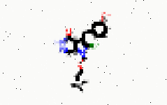 C[Si](C)(C)CCOCn1c(Br)c(Cc2cccc(O)c2)c2c(=O)[nH]ncc21